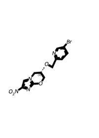 O=[N+]([O-])c1cn2c(n1)OC[C@@H](OCc1ccc(Br)cn1)C2